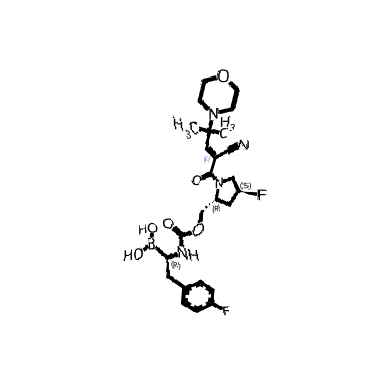 CC(C)(/C=C(\C#N)C(=O)N1C[C@@H](F)C[C@@H]1COC(=O)N[C@@H](Cc1ccc(F)cc1)B(O)O)N1CCOCC1